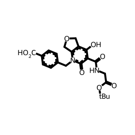 CC(C)(C)OC(=O)CNC(=O)c1c(O)c2c(n(Cc3ccc(C(=O)O)cc3)c1=O)COC2